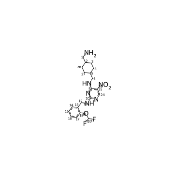 NCC1CCC(CNc2nc(NCc3ccccc3OC(F)F)ncc2[N+](=O)[O-])CC1